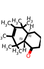 CC1=C(C)C(C)(C)[C@H]2C(=O)CCC[C@@H]2C1(C)C